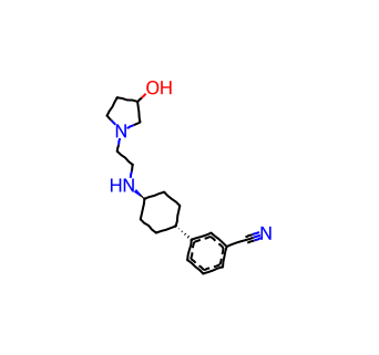 N#Cc1cccc([C@H]2CC[C@H](NCCN3CCC(O)C3)CC2)c1